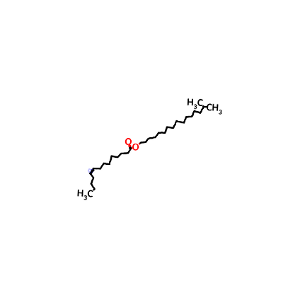 CCCC/C=C\CCCCCCCC(=O)OCCCCCCCCCCCCCCC(C)C